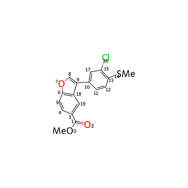 COC(=O)c1ccc2occ(-c3ccc(SC)c(Cl)c3)c2c1